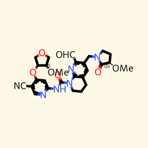 CO[C@H]1CCN(Cc2cc3c(nc2C=O)N(C(=O)Nc2cc(OC4COC[C@H]4OC)c(C#N)cn2)CCC3)C1=O